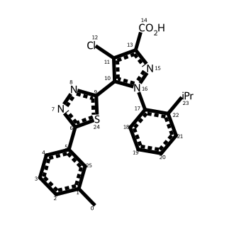 Cc1cccc(-c2nnc(-c3c(Cl)c(C(=O)O)nn3-c3ccccc3C(C)C)s2)c1